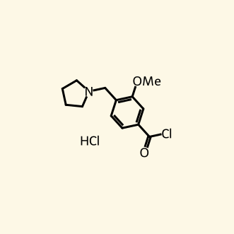 COc1cc(C(=O)Cl)ccc1CN1CCCC1.Cl